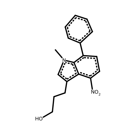 Cn1cc(CCCO)c2c([N+](=O)[O-])ccc(-c3ccccc3)c21